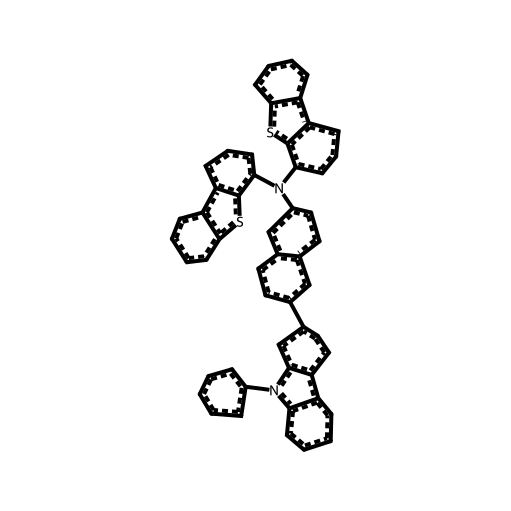 c1ccc(-n2c3ccccc3c3ccc(-c4ccc5cc(N(c6cccc7c6sc6ccccc67)c6cccc7c6sc6ccccc67)ccc5c4)cc32)cc1